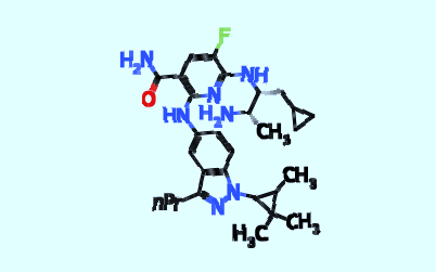 CCCc1nn(C2C(C)C2(C)C)c2ccc(Nc3nc(N[C@H](CC4CC4)[C@H](C)N)c(F)cc3C(N)=O)cc12